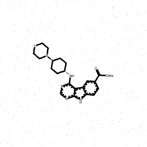 COC(=O)c1ccc2[nH]c3ncnc(N[C@H]4CC[C@H](N5CCOCC5)CC4)c3c2c1